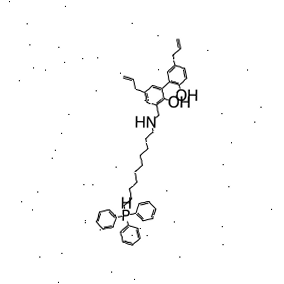 C=CCc1ccc(O)c(-c2cc(CC=C)cc(CNCCCCCCCCCC[PH](c3ccccc3)(c3ccccc3)c3ccccc3)c2O)c1